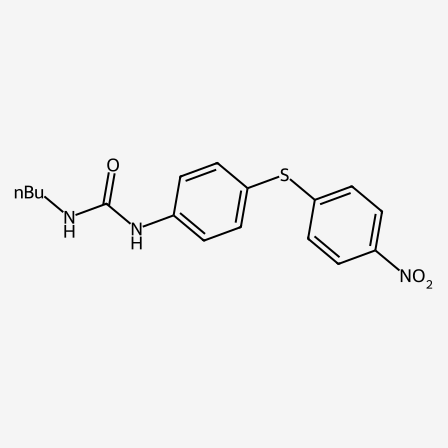 CCCCNC(=O)Nc1ccc(Sc2ccc([N+](=O)[O-])cc2)cc1